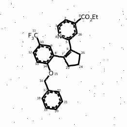 CCOC(=O)c1ccnc(C2=C(c3cc(C(F)(F)F)ccc3OCc3ccccc3)CCC2)c1